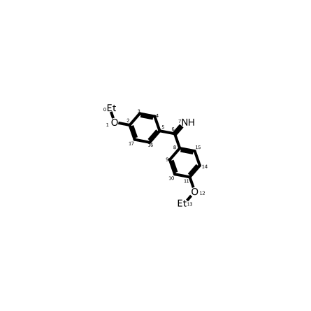 CCOc1ccc(C(=N)c2ccc(OCC)cc2)cc1